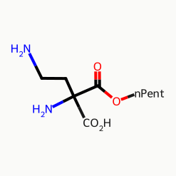 CCCCCOC(=O)C(N)(CCN)C(=O)O